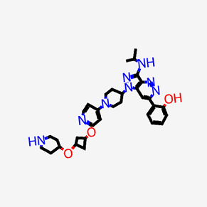 CC(C)Nc1nn(C2CCN(c3ccnc(OC4CC(OC5CCNCC5)C4)c3)CC2)c2cc(-c3ccccc3O)nnc12